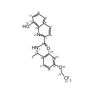 CC(NC(=O)c1ccc2cccc(O)c2n1)c1ccc(OCC(F)(F)F)nc1